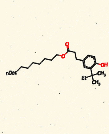 CCCCCCCCCCCCCCCCCOC(=O)CCc1ccc(O)c(C(C)(C)CC)c1